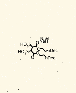 CCCCCCCCCCCCOC(=O)C(C(C(=O)OCCCCCCCCCCCC)S(=O)(=O)O)S(=O)(=O)O.[NaH].[NaH]